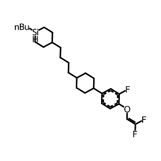 CCCC[SiH]1CCC(CCCCC2CCC(c3ccc(OC=C(F)F)c(F)c3)CC2)CC1